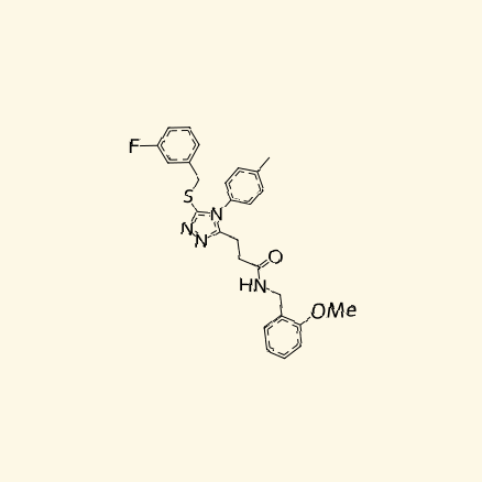 COc1ccccc1CNC(=O)CCc1nnc(SCc2cccc(F)c2)n1-c1ccc(C)cc1